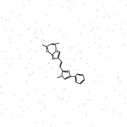 Cc1cc(C)n2cc(C=Cc3nc(-c4ccccc4)cn3C)nc2n1